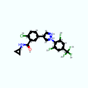 O=C(NC1CC1)c1cc(-c2cnn(-c3c(F)cc(C(F)(F)F)cc3F)c2)ccc1Cl